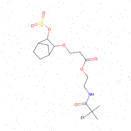 CCC(C)(C)C(=O)NCCOC(=O)CCOC1C2CCC(C2)C1O[SH](=O)=O